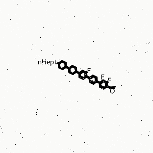 CCCCCCCC1CCC(C2CCC(c3ccc(-c4ccc(-c5ccc(C6CO6)c(F)c5F)cc4)c(F)c3)CC2)CC1